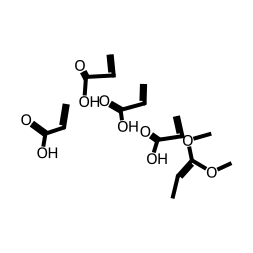 C=CC(=O)O.C=CC(=O)O.C=CC(=O)O.C=CC(=O)O.CC=C(OC)OC